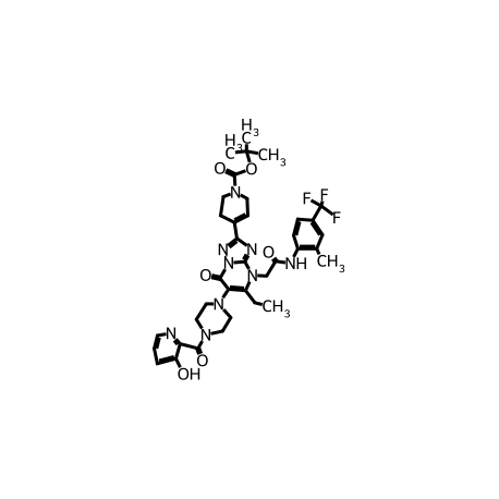 CCc1c(N2CCN(C(=O)c3ncccc3O)CC2)c(=O)n2nc(C3=CCN(C(=O)OC(C)(C)C)CC3)nc2n1CC(=O)Nc1ccc(C(F)(F)F)cc1C